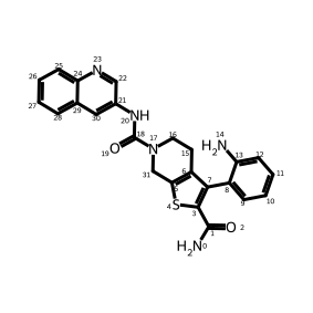 NC(=O)c1sc2c(c1-c1ccccc1N)CCN(C(=O)Nc1cnc3ccccc3c1)C2